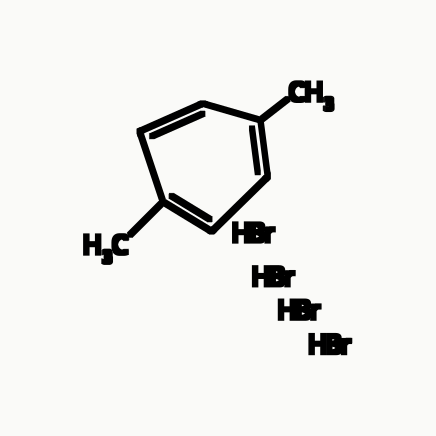 Br.Br.Br.Br.Cc1ccc(C)cc1